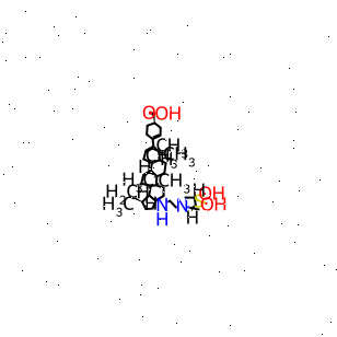 C=C(C)[C@@H]1CC[C@]2(NCCN3C[C@@H]4C[C@H]3CS4(O)O)CC[C@]3(C)[C@H](CC[C@@H]4[C@@]5(C)CC=C(C6=CC[C@H](C(=O)O)CC6)C(C)(C)[C@@H]5CC[C@]43C)[C@@H]12